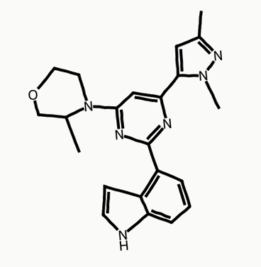 Cc1cc(-c2cc(N3CCOCC3C)nc(-c3cccc4[nH]ccc34)n2)n(C)n1